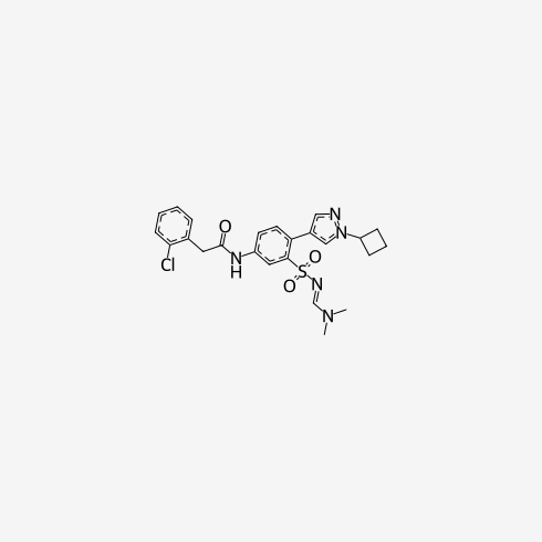 CN(C)C=NS(=O)(=O)c1cc(NC(=O)Cc2ccccc2Cl)ccc1-c1cnn(C2CCC2)c1